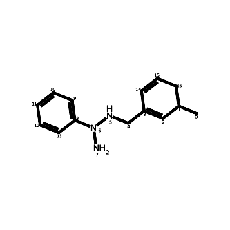 CC1C=C(CNN(N)c2ccccc2)C=CC1